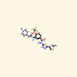 Cc1nc(-c2nnc(NC(=O)c3ccc(OC(F)(F)F)c(NC(=O)CN4CCN(C)CC4)c3)s2)cs1